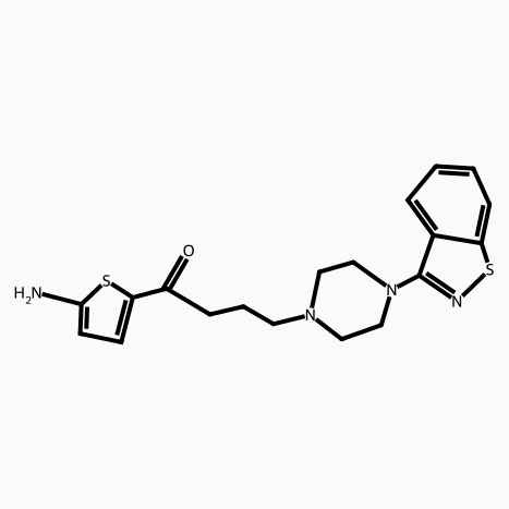 Nc1ccc(C(=O)CCCN2CCN(c3nsc4ccccc34)CC2)s1